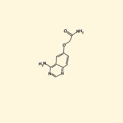 NC(=O)COc1ccc2ncnc(N)c2c1